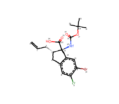 C=CC[C@H]1Cc2cc(Cl)c(Br)cc2[C@@]1(NC(=O)OC(C)(C)C)C(=O)O